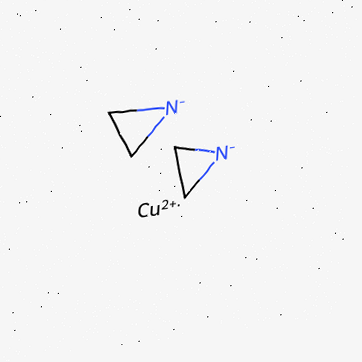 C1C[N-]1.C1C[N-]1.[Cu+2]